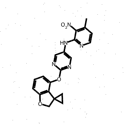 Cc1ccnc(Nc2cnc(Oc3cccc4c3C3(CC3)CO4)nc2)c1[N+](=O)[O-]